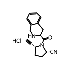 C#C[C@H]1CC[C@@H](C#N)N1C(=O)[C@@H]1Cc2ccccc2CN1.Cl